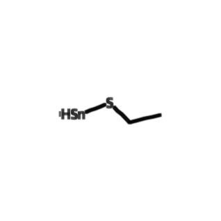 CC[S][SnH]